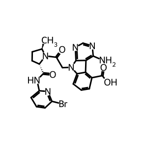 C[C@@H]1CC[C@@H](C(=O)Nc2cccc(Br)n2)N1C(=O)Cn1c2cccc(C(=O)O)c2c2c(N)ncnc21